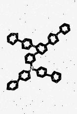 c1ccc(-c2ccc(-c3ccc(-c4cccc(N(c5ccc(-c6ccccc6)cc5)c5ccc(-c6ccccc6)cc5)c4)c(-c4ccc(-c5ccccc5)cc4)c3)cc2)cc1